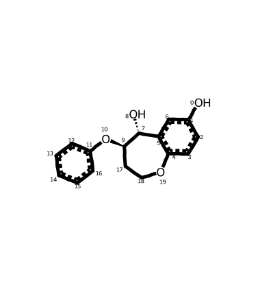 Oc1ccc2c(c1)[C@@H](O)[C@H](Oc1ccccc1)CCO2